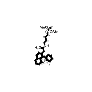 C=C(Cc1ccc2cccc(C)c2c1-c1ccccc1)NCCCCOP(=O)(OC)OC